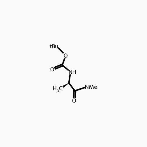 CNC(=O)[C@@H](C)NC(=O)OC(C)(C)C